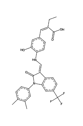 CCC(=Cc1ccc(NC=C2C(=O)N(c3ccc(C)c(C)c3)c3cc(C(F)(F)F)ccc32)c(O)c1)C(=O)O